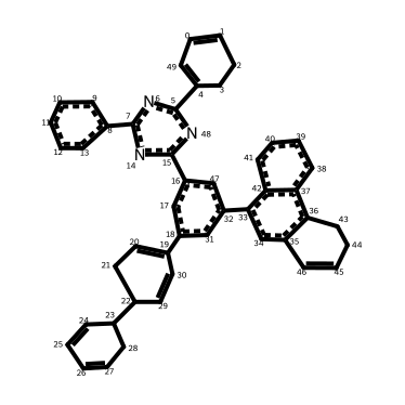 C1=CCCC(c2nc(-c3ccccc3)nc(-c3cc(C4=CCC(C5C=CC=CC5)C=C4)cc(-c4cc5c(c6ccccc46)CCC=C5)c3)n2)=C1